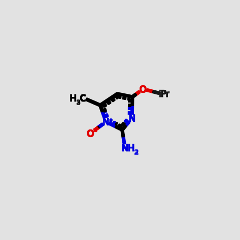 Cc1cc(OC(C)C)nc(N)[n+]1[O-]